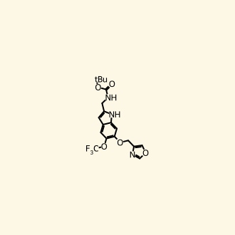 CC(C)(C)OC(=O)NCc1cc2cc(OC(F)(F)F)c(OCc3cocn3)cc2[nH]1